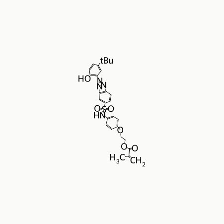 C=C(C)C(=O)OCCOc1ccc(NS(=O)(=O)c2ccc3c(c2)n2n(-c4cc(C(C)(C)C)ccc4O)n32)cc1